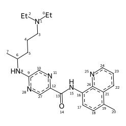 CCN(CC)CCCC(C)Nc1cnc(C(=O)Nc2ccc(C)c3cccnc23)cn1